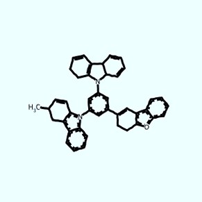 CC1C=Cc2c(c3ccccc3n2-c2cc(C3=Cc4c(oc5ccccc45)CC3)cc(N3C4=C(C=CCC4)C4C=CC=CC43)c2)C1